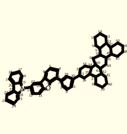 c1cc(-c2cccc3c2oc2ccc(-n4c5ccccc5c5ccccc54)cc23)cc(C2CCC3C(C2)C2CCCCC2C2CC4C5CCCCC5C5CCCCC5C4CC32)c1